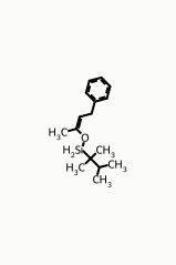 CC(=CCc1ccccc1)O[SiH2]C(C)(C)C(C)C